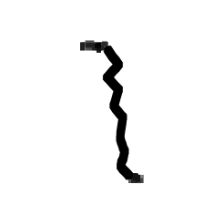 [CH2]CCCCCCCCCCCCCCC(C)CC